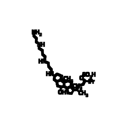 CC(C)[C@@H](CC[C@H](C)[C@H]1CCC2C3C(CC[C@@]21C)[C@@]1(C)CC[C@H](NCCCNCCCCNCCCN)CC1C[C@@H]3O)OS(=O)(=O)O